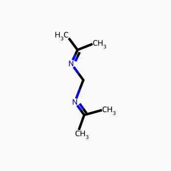 CC(C)=NCN=C(C)C